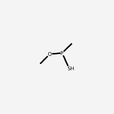 COP(C)S